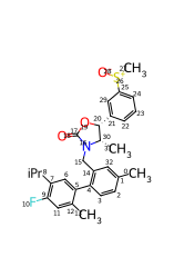 Cc1ccc(-c2cc(C(C)C)c(F)cc2C)c(CN2C(=O)O[C@H](c3cccc([S+](C)[O-])c3)[C@@H]2C)c1